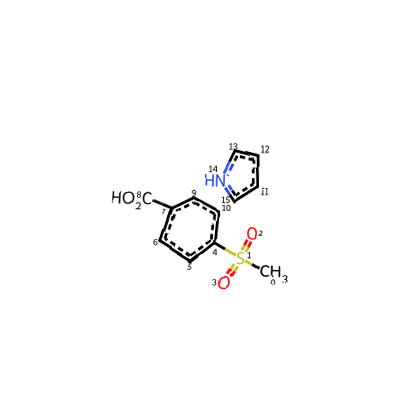 CS(=O)(=O)c1ccc(C(=O)O)cc1.c1cc[nH]c1